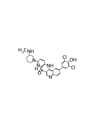 CNC1CCCN(c2ccc(Nc3c(C(C)=O)cnc4ccc(-c5cc(Cl)c(O)c(Cl)c5)cc34)cn2)C1